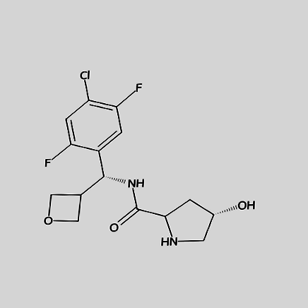 O=C(N[C@@H](c1cc(F)c(Cl)cc1F)C1COC1)C1C[C@H](O)CN1